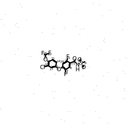 CS(=O)(=O)NC(=O)c1cc(F)c(Oc2ccc(OC(F)F)c(Cl)c2)cc1F